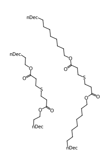 CCCCCCCCCCCCCCCCCCOC(=O)CCSCCC(=O)OCCCCCCCCCCCCCCCCCC.CCCCCCCCCCCCOC(=O)CCSCCC(=O)OCCCCCCCCCCCC